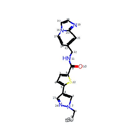 CC(C)(C)Cn1cc(-c2ccc(C(=O)NCc3ccn4ccnc4c3)s2)cn1